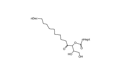 CCCCCCCCCCCCCCCCCCCC(=O)C(OC(=O)CCCCCCC)C(O)CO